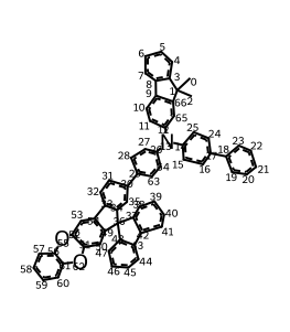 CC1(C)c2ccccc2-c2ccc(N(c3ccc(-c4ccccc4)cc3)c3ccc(-c4ccc5c(c4)C4(c6ccccc6-c6ccccc64)c4cc6c(cc4-5)Oc4ccccc4O6)cc3)cc21